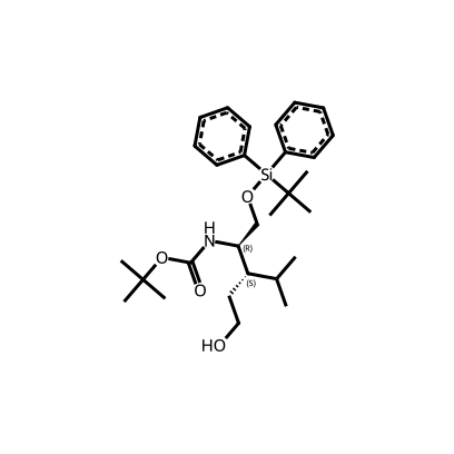 CC(C)[C@H](CCO)[C@H](CO[Si](c1ccccc1)(c1ccccc1)C(C)(C)C)NC(=O)OC(C)(C)C